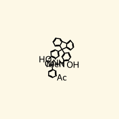 CNc1cc(C2(c3ccc(O)c(NC(=O)c4cccc(C(C)=O)c4)c3)c3ccccc3-c3ccccc32)ccc1O